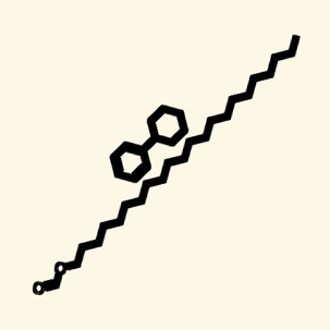 CCCCCCCCCCCCCCCCCCCCCCOC=O.c1ccc(C2CCCCC2)cc1